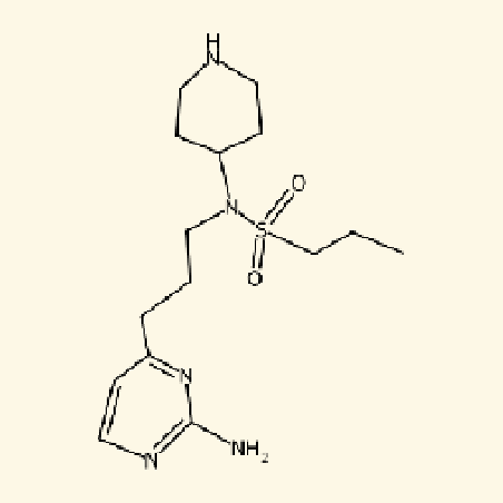 CCCS(=O)(=O)N(CCCc1ccnc(N)n1)C1CCNCC1